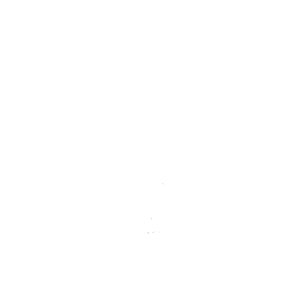 CCCCCCNC(=O)N(CCCc1ccccc1)c1ccc(Sc2ccc(C(CC)C(=O)O)cc2)cc1